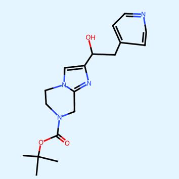 CC(C)(C)OC(=O)N1CCn2cc(C(O)Cc3ccncc3)nc2C1